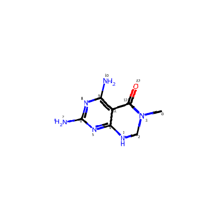 CN1CNc2nc(N)nc(N)c2C1=O